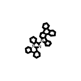 c1ccc(-c2ccccc2-c2nc(-n3c4ccccc4c4c5c6ccccc6c6ccccc6c5ccc43)c3ccccc3n2)cc1